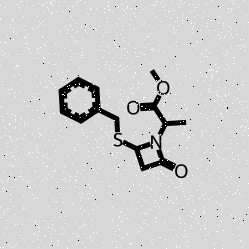 COC(=O)C(C)N1C(=O)CC1SCc1ccccc1